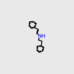 C(=Cc1ccccc1)NCCc1ccccc1